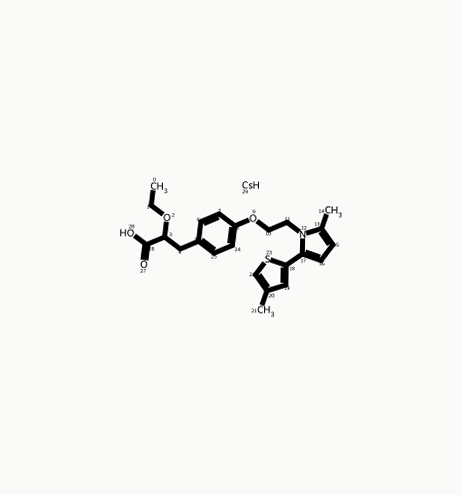 CCOC(Cc1ccc(OCCn2c(C)ccc2-c2cc(C)cs2)cc1)C(=O)O.[CsH]